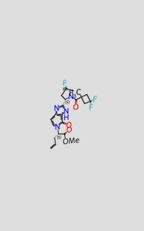 C=CC[C@@H](C(=O)OC)n1ccc2nc([C@@H]3C[C@@H](F)CN3C(=O)C3(C(F)(F)F)CC(F)(F)C3)[nH]c2c1=O